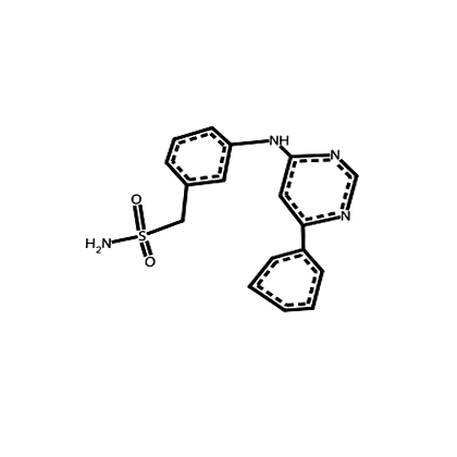 NS(=O)(=O)Cc1cccc(Nc2cc(-c3ccccc3)ncn2)c1